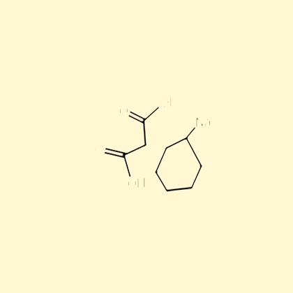 O=C(O)CC(=O)O.[Na][CH]1CCCCC1